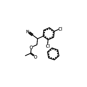 CC(=O)OCC(C#N)c1ccc(Cl)cc1Cl.c1ccccc1